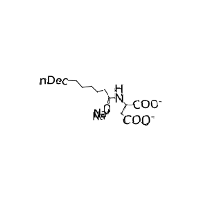 CCCCCCCCCCCCCCCC(=O)NC(CC(=O)[O-])C(=O)[O-].[Na+].[Na+]